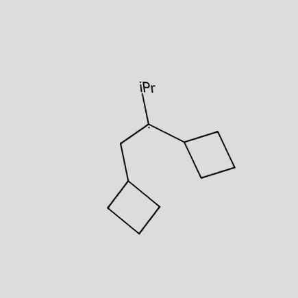 CC(C)[C](CC1CCC1)C1CCC1